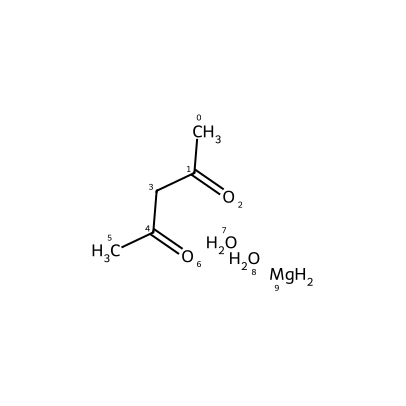 CC(=O)CC(C)=O.O.O.[MgH2]